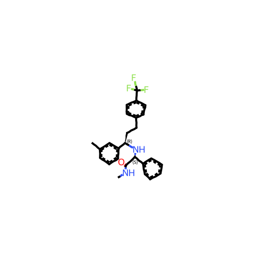 CNC(=O)[C@@H](N[C@H](CCc1ccc(C(F)(F)F)cc1)c1cccc(C)c1)c1ccccc1